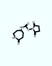 O=C1CC[C@@H](NC(=O)ON2C(=O)CCC2=O)CCN1